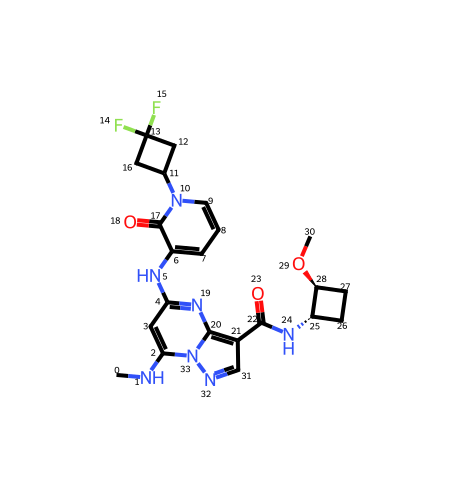 CNc1cc(Nc2cccn(C3CC(F)(F)C3)c2=O)nc2c(C(=O)N[C@H]3CC[C@@H]3OC)cnn12